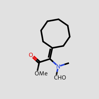 COC(=O)C(=C1CCCCCCC1)N(C)C=O